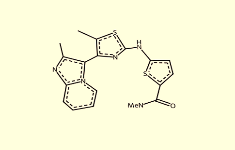 CNC(=O)c1ccc(Nc2nc(-c3c(C)nc4ccccn34)c(C)s2)s1